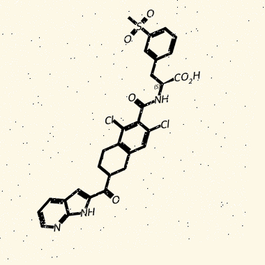 CS(=O)(=O)c1cccc(C[C@H](NC(=O)c2c(Cl)cc3c(c2Cl)CCC(C(=O)c2cc4cccnc4[nH]2)C3)C(=O)O)c1